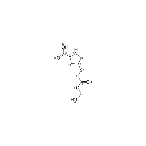 CCOC(=O)CSC1CNC(C(=O)O)C1